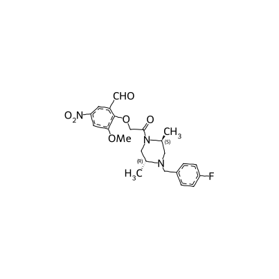 COc1cc([N+](=O)[O-])cc(C=O)c1OCC(=O)N1C[C@@H](C)N(Cc2ccc(F)cc2)C[C@@H]1C